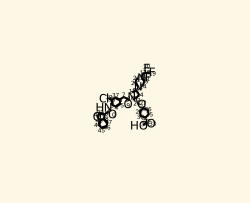 O=C(Nc1ccc(CC(=O)N2C[C@@H](N3CCN(CC(F)(F)F)CC3)C[C@H]2CO[C@H]2CC[C@H](C(=O)O)CC2)cc1Cl)c1coc2ccccc12